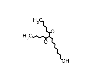 CCCCCC(=O)C(CCCC/C=C/CCO)C(=O)CCCCC